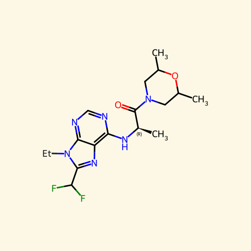 CCn1c(C(F)F)nc2c(N[C@H](C)C(=O)N3CC(C)OC(C)C3)ncnc21